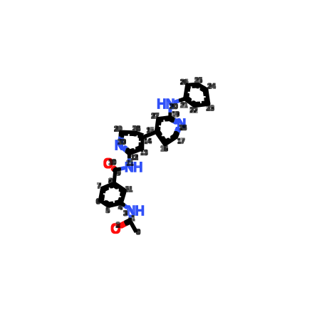 CC(=O)Nc1cccc(C(=O)Nc2cc(-c3ccnc(Nc4ccccc4)c3)ccn2)c1